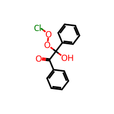 O=C(c1ccccc1)C(O)(OOCl)c1ccccc1